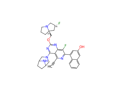 C#Cc1nc(-c2cc(O)cc3ccccc23)c(F)c2nc(OC[C@@]34CCCN3C[C@H](F)C4)nc(N3CC4CCC(C3)N4)c12